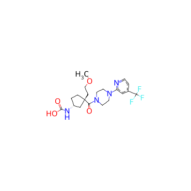 COCC[C@]1(C(=O)N2CCN(c3cc(C(F)(F)F)ccn3)CC2)CC[C@@H](NC(=O)O)C1